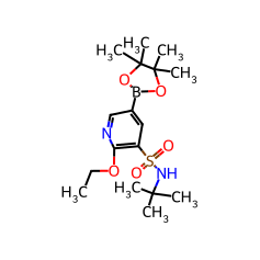 CCOc1ncc(B2OC(C)(C)C(C)(C)O2)cc1S(=O)(=O)NC(C)(C)C